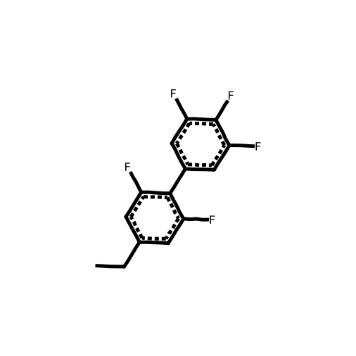 CCc1cc(F)c(-c2cc(F)c(F)c(F)c2)c(F)c1